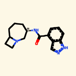 O=C(N[C@H]1CCCC2CCN2C1)c1cccc2[nH]ncc12